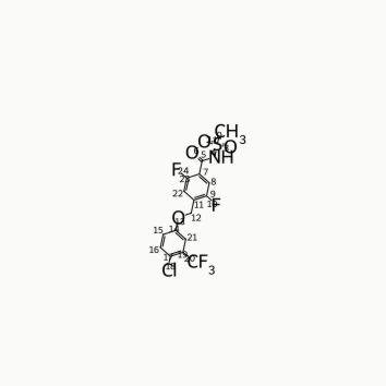 CS(=O)(=O)NC(=O)c1cc(F)c(COc2ccc(Cl)c(C(F)(F)F)c2)cc1F